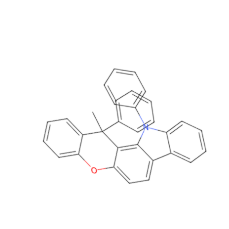 CC1(c2ccccc2)c2ccccc2Oc2ccc3c4ccccc4n(-c4ccccc4)c3c21